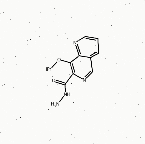 CC(C)Oc1c(C(=O)NN)ncc2cccnc12